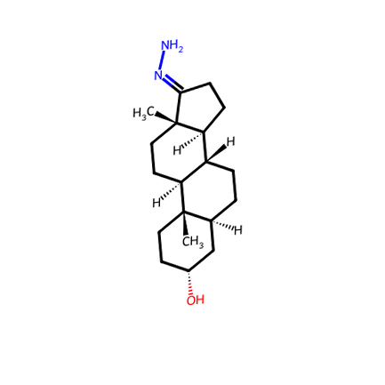 C[C@]12CC[C@@H](O)C[C@@H]1CC[C@@H]1[C@@H]2CC[C@]2(C)C(=NN)CC[C@@H]12